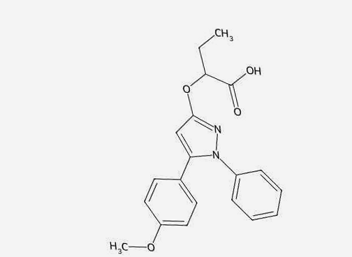 CCC(Oc1cc(-c2ccc(OC)cc2)n(-c2ccccc2)n1)C(=O)O